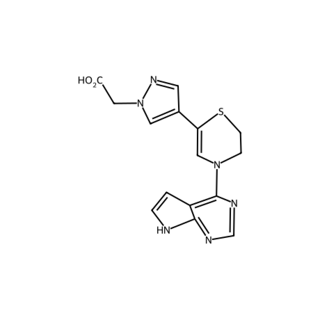 O=C(O)Cn1cc(C2=CN(c3ncnc4[nH]ccc34)CCS2)cn1